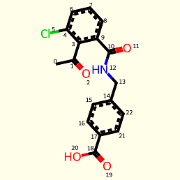 CC(=O)c1c(Cl)cccc1C(=O)NCc1ccc(C(=O)O)cc1